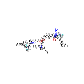 C=C(CCCCCCCC(CCCCCCCC(=O)NC/C=C\C(F)(F)CCCCC)OC(=O)CCCN(C)C)NC/C=C\C(F)(F)CCCCC